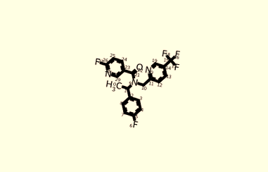 CC(c1ccc(F)cc1)N(Cc1ccc(C(F)(F)F)cn1)C(=O)c1ccc(F)nc1